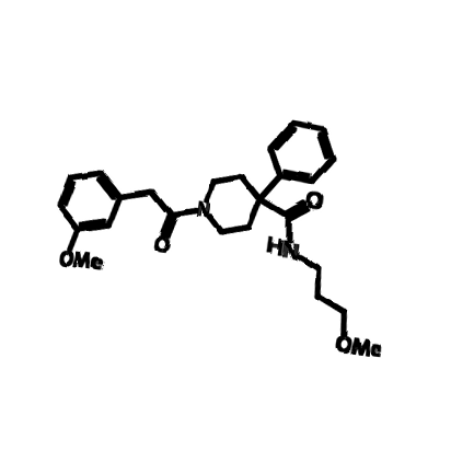 COCCCNC(=O)C1(c2ccccc2)CCN(C(=O)Cc2cccc(OC)c2)CC1